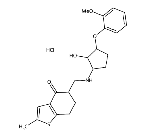 COc1ccccc1OC1CCC(NCC2CCc3sc(C)cc3C2=O)C1O.Cl